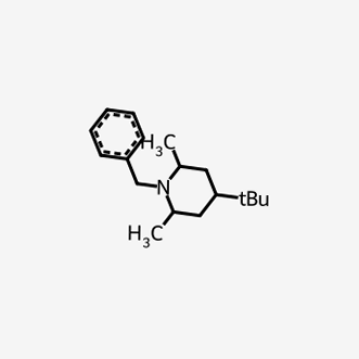 CC1CC(C(C)(C)C)CC(C)N1Cc1ccccc1